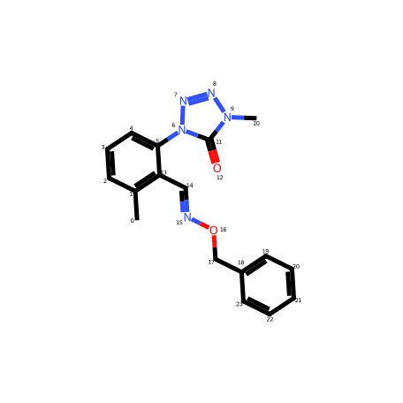 Cc1cccc(-n2nnn(C)c2=O)c1C=NOCc1ccccc1